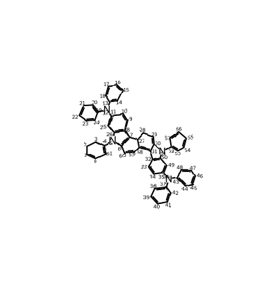 C1=CCCC(n2c3c(c4ccc(N(c5ccccc5)c5ccccc5)cc42)C2CC=c4c(c5ccc(N(c6ccccc6)c6ccccc6)cc5n4-c4ccccc4)=C2C=C3)=C1